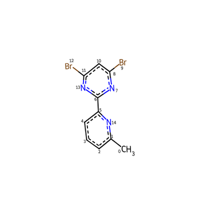 Cc1cccc(-c2nc(Br)cc(Br)n2)n1